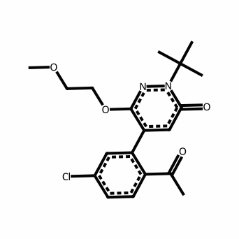 COCCOc1nn(C(C)(C)C)c(=O)cc1-c1cc(Cl)ccc1C(C)=O